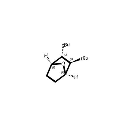 CC(C)(C)[C@@H]1[C@@H](C(C)(C)C)[C@H]2CC[C@@H]1O2